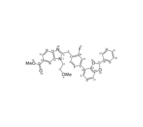 COCCn1c(Cc2ccc(-c3cccc4c3OC(c3ccccc3)O4)cc2F)nc2ccc(C(=O)OC)cc21